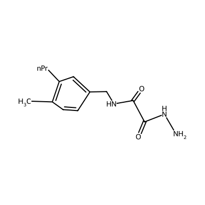 CCCc1cc(CNC(=O)C(=O)NN)ccc1C